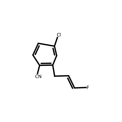 N#Cc1ccc(Cl)cc1CC=CF